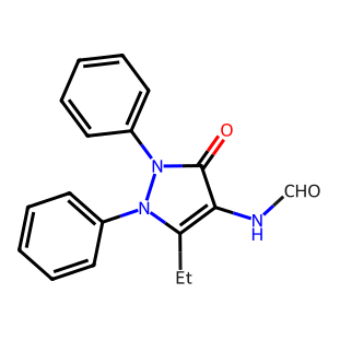 CCc1c(NC=O)c(=O)n(-c2ccccc2)n1-c1ccccc1